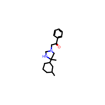 CC1CCCC(C2(C)CN(CC(=O)c3ccccc3)CN2)C1